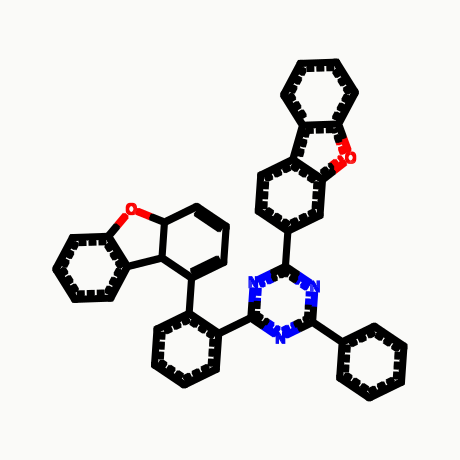 C1=CC2Oc3ccccc3C2C(c2ccccc2-c2nc(-c3ccccc3)nc(-c3ccc4c(c3)oc3ccccc34)n2)=C1